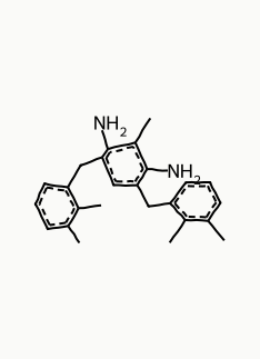 Cc1cccc(Cc2cc(Cc3cccc(C)c3C)c(N)c(C)c2N)c1C